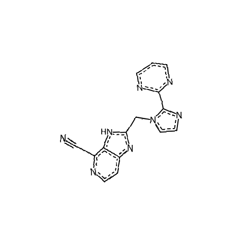 N#Cc1nccc2nc(Cn3ccnc3-c3ncccn3)[nH]c12